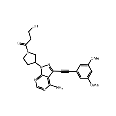 COc1cc(C#Cc2nn(C3CCN(C(=O)CCO)C3)c3ncnc(N)c23)cc(OC)c1